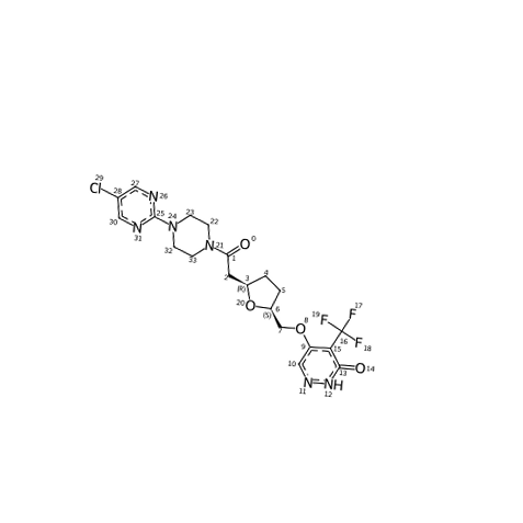 O=C(C[C@H]1CC[C@@H](COc2cn[nH]c(=O)c2C(F)(F)F)O1)N1CCN(c2ncc(Cl)cn2)CC1